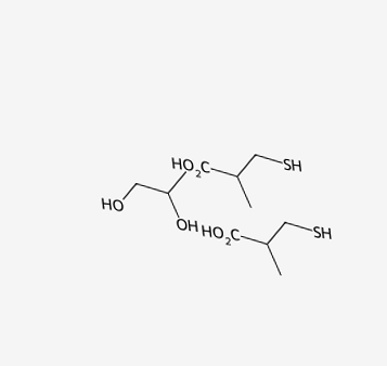 CC(CS)C(=O)O.CC(CS)C(=O)O.CC(O)CO